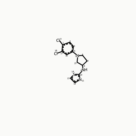 Clc1ccc(N2CCC(Nc3nccs3)C2)cc1Cl